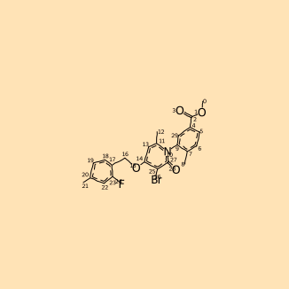 COC(=O)c1ccc(C)c(-n2c(C)cc(OCc3ccc(C)cc3F)c(Br)c2=O)c1